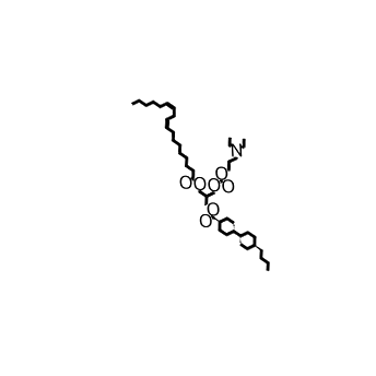 CCCCC/C=C\C/C=C\CCCCCCCC(=O)OCC(COC(=O)OCCCN(CC)CC)COC(=O)[C@H]1CC[C@H]([C@H]2CC[C@H](CCCC)CC2)CC1